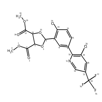 COC(=O)C1OC(c2cc(-c3ncc(C(F)(F)F)cc3Cl)ccc2Cl)OC1C(=O)OC